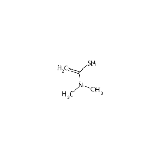 C=C(S)N(C)C